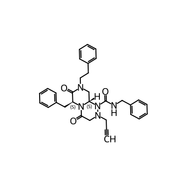 C#CCN1CC(=O)N2[C@@H](Cc3ccccc3)C(=O)N(CCc3ccccc3)C[C@@H]2N1C(=O)NCc1ccccc1